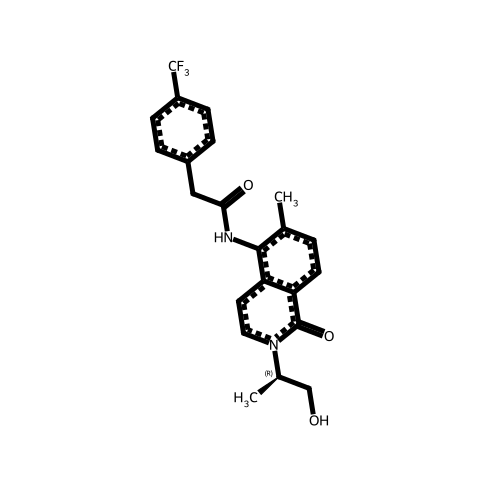 Cc1ccc2c(=O)n([C@H](C)CO)ccc2c1NC(=O)Cc1ccc(C(F)(F)F)cc1